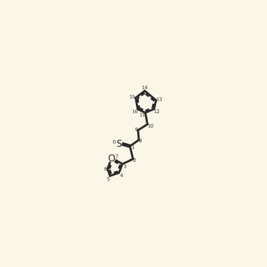 S=C([CH]c1ccco1)CCCc1ccccc1